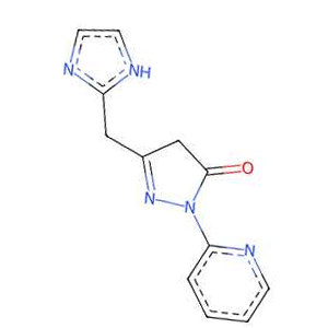 O=C1CC(Cc2ncc[nH]2)=NN1c1ccccn1